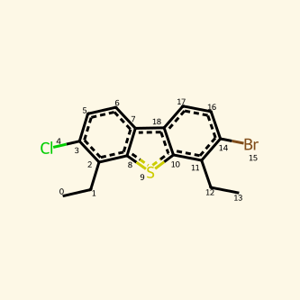 CCc1c(Cl)ccc2c1sc1c(CC)c(Br)ccc12